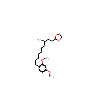 COc1ccc(/C=C\CC/C=C/C=C(\C)CCC2OCCO2)c(OC)c1